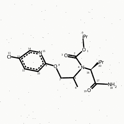 CC(C)OC(=O)N(C(C)COc1ccc(Cl)cn1)[C@H](C(N)=O)C(C)C